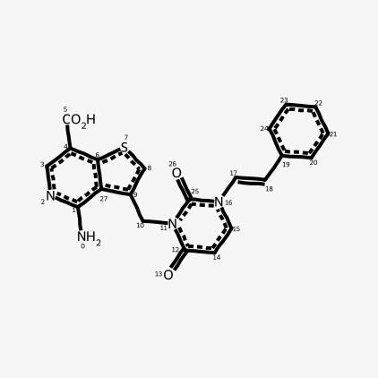 Nc1ncc(C(=O)O)c2scc(Cn3c(=O)ccn(C=Cc4ccccc4)c3=O)c12